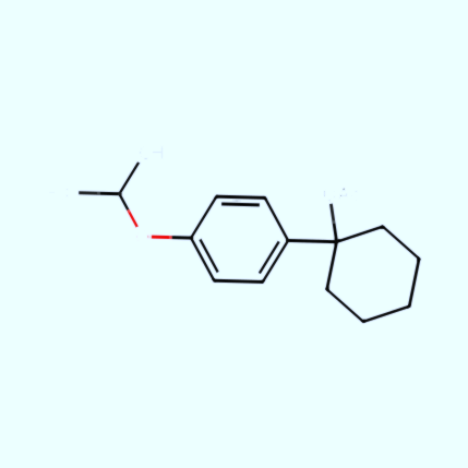 CC(=O)OC1(c2ccc(OC(C)C(F)(F)F)cc2)CCCCC1